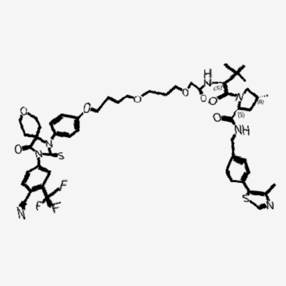 Cc1ncsc1-c1ccc(CNC(=O)[C@@H]2C[C@@H](C)CN2C(=O)[C@@H](NC(=O)COCCCOCCCCOc2ccc(N3C(=S)N(c4ccc(C#N)c(C(F)(F)F)c4)C(=O)C34CCOCC4)cc2)C(C)(C)C)cc1